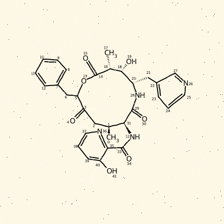 C[C@H]1CC(=O)C(Cc2ccccc2)OC(=O)[C@H](C)[C@H](O)[C@H](Cc2cccnc2)NC(=O)[C@H]1NC(=O)c1ncccc1O